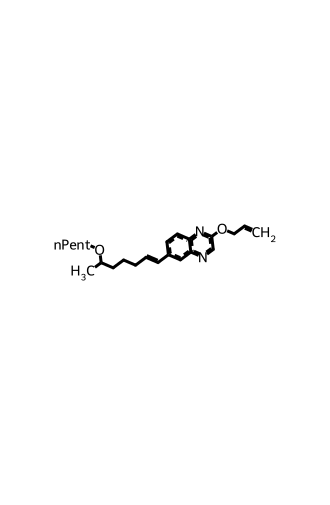 C=CCOc1cnc2cc(/C=C/CCCC(C)OCCCCC)ccc2n1